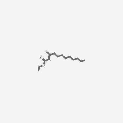 CCCCCCCCCC(C)=CC(=O)OCC